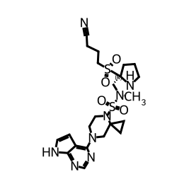 CN(C[C@]1(S(=O)(=O)CCCC#N)CCCN1)S(=O)(=O)N1CCN(c2ncnc3[nH]ccc23)CC12CC2